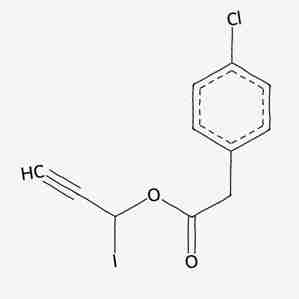 C#CC(I)OC(=O)Cc1ccc(Cl)cc1